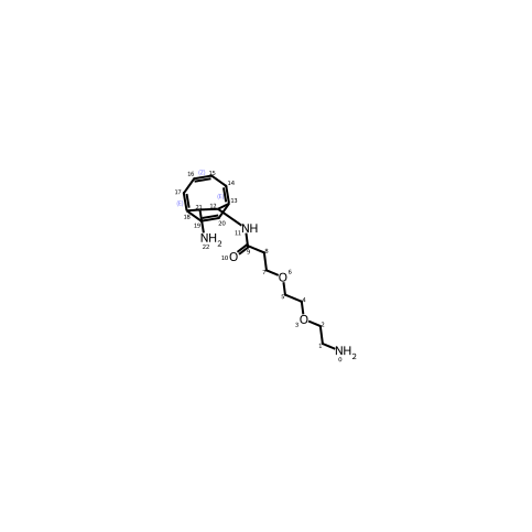 NCCOCCOCCC(=O)NC1/C2=C/C=C\C=C(C=C2)\C1N